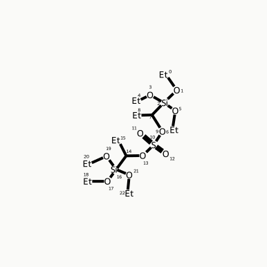 CCO[Si](OCC)(OCC)C(CC)OS(=O)(=O)OC(CC)[Si](OCC)(OCC)OCC